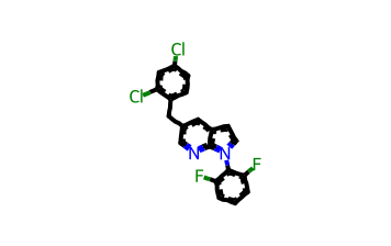 Fc1cccc(F)c1-n1ccc2cc(Cc3ccc(Cl)cc3Cl)cnc21